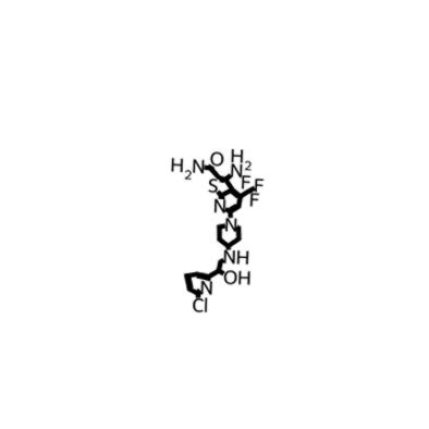 NC(=O)c1sc2nc(N3CCC(NCC(O)c4cccc(Cl)n4)CC3)cc(C(F)(F)F)c2c1N